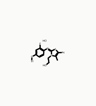 CCOc1ccc(N=c2sc(C(C)=O)c(C)n2CCO)c(F)c1.Cl